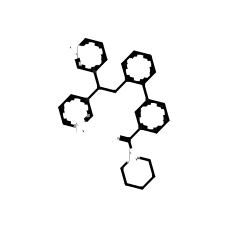 O=C(c1cccc(-c2ccccc2CC(c2cccnc2)c2cccnc2)c1)N1CCCCC1